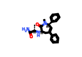 C[C@H](N[C@H]1CC(c2ccccc2)=C[C@H](c2ccccc2)N(C)C1=O)C(N)=O